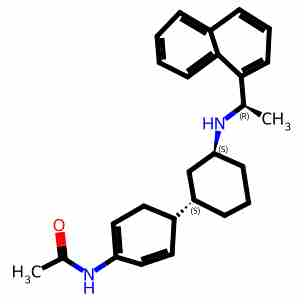 CC(=O)NC1=CCC([C@H]2CCC[C@H](N[C@H](C)c3cccc4ccccc34)C2)C=C1